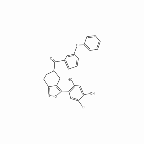 O=C(c1cccc(Oc2ccccc2)c1)N1CCc2noc(-c3cc(Cl)c(O)cc3O)c2C1